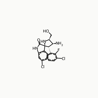 N[C@@H]1[C@H](CO)N[C@@]2(C(=O)Nc3cc(Cl)ccc32)[C@H]1c1cccc(Cl)c1F